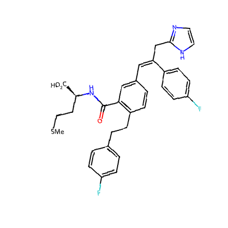 CSCC[C@H](NC(=O)c1cc(C=C(Cc2ncc[nH]2)c2ccc(F)cc2)ccc1CCc1ccc(F)cc1)C(=O)O